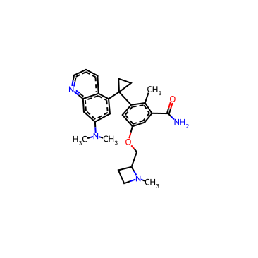 Cc1c(C(N)=O)cc(OCC2CCN2C)cc1C1(c2cc(N(C)C)cc3ncccc23)CC1